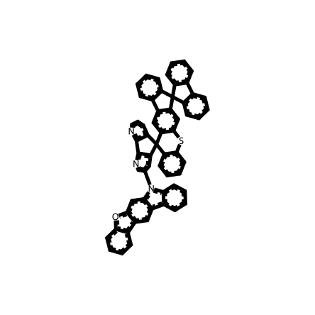 c1ccc2c(c1)Sc1cc3c(cc1C21c2cccnc2-c2ncc(-n4c5ccccc5c5cc6c(cc54)oc4ccccc46)cc21)-c1ccccc1C31c2ccccc2-c2ccccc21